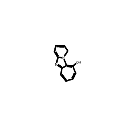 OC1=c2c(nc3n2CC=CC=3)C=CC=C1